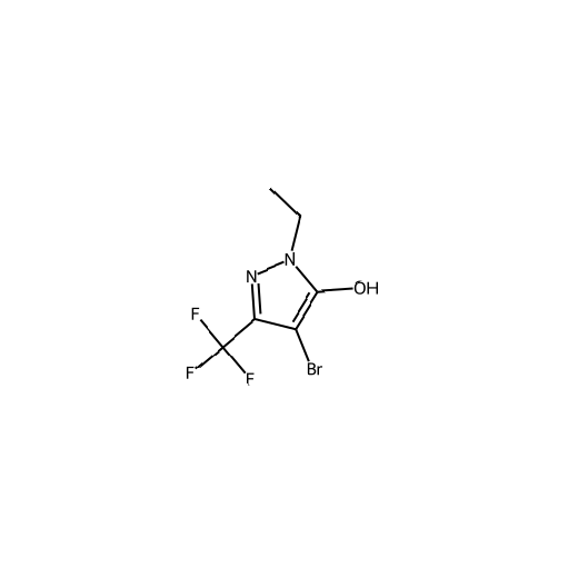 CCn1nc(C(F)(F)F)c(Br)c1O